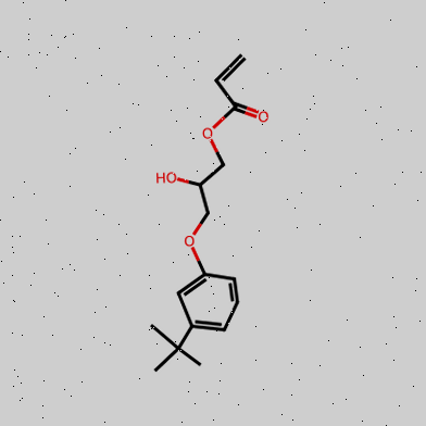 C=CC(=O)OCC(O)COc1cccc(C(C)(C)C)c1